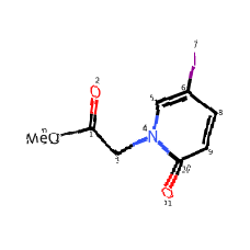 COC(=O)Cn1cc(I)ccc1=O